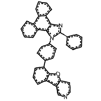 c1ccc(-c2nc3c4ccccc4c4ccccc4c3n2-c2ccc(-c3cccc4c3oc3ccncc34)cc2)cc1